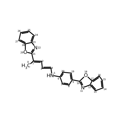 C/C(=C\C=C\Nc1ccc(-c2nc3ccccc3o2)cc1)c1nc2ccccc2o1